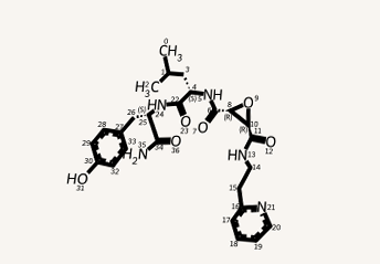 CC(C)C[C@H](NC(=O)[C@@H]1O[C@H]1C(=O)NCCc1ccccn1)C(=O)N[C@@H](Cc1ccc(O)cc1)C(N)=O